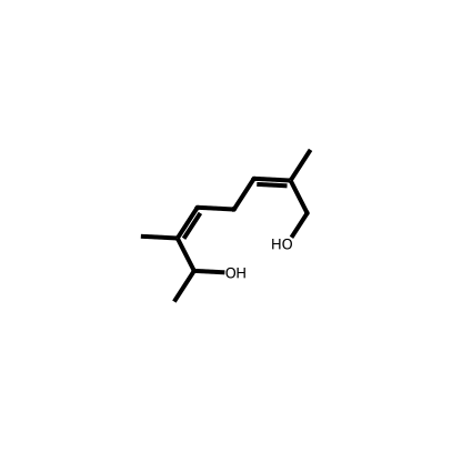 CC(=CCC=C(C)C(C)O)CO